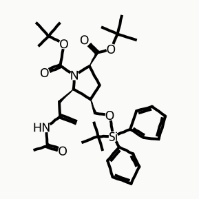 C=C(C[C@@H]1[C@H](CO[Si](c2ccccc2)(c2ccccc2)C(C)(C)C)C[C@H](C(=O)OC(C)(C)C)N1C(=O)OC(C)(C)C)NC(C)=O